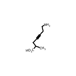 CC(CC#CCCN)C(=O)O